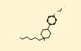 CCCCCCC1(C)CCC(c2ccc(OCC)cc2)CC1